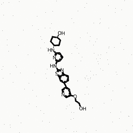 OCCOc1cncc(-c2ccc3nc(Nc4cccc(N[C@H]5CC[C@H](O)CC5)n4)sc3c2)c1